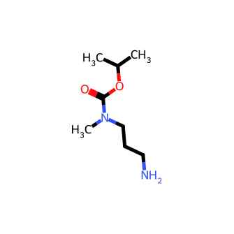 CC(C)OC(=O)N(C)CCCN